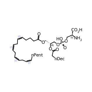 CCCCC/C=C\C/C=C\C/C=C\C/C=C\CCCC(=O)OC[C@H](COP(=O)(O)OC[C@H](N)C(=O)O)OC(=O)CCCCCCCCCCC